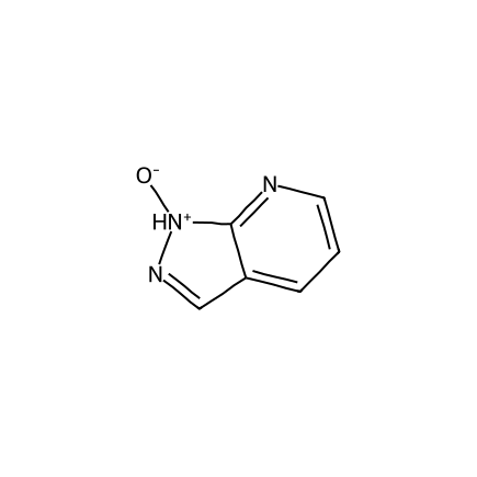 [O-][NH+]1N=Cc2cccnc21